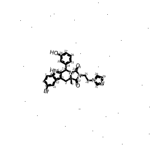 CC12Cc3c([nH]c4ccc(Br)cc34)C(c3cccc(O)c3)N1C(=O)N(CCn1ccnc1)C2=O